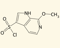 COc1nccc2c(S(=O)(=O)Cl)c[nH]c12